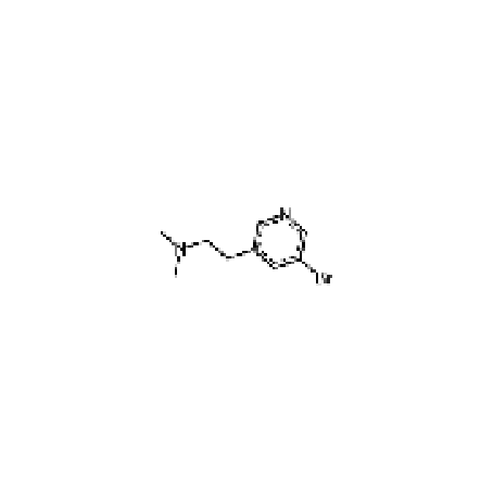 CN(C)CCc1cncc(Br)c1